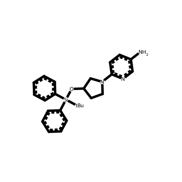 CC(C)(C)[Si](OC1CCN(c2ccc(N)cn2)C1)(c1ccccc1)c1ccccc1